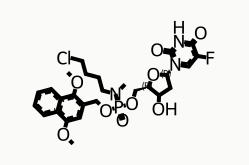 COc1cc(COP(=O)(OC[C@H]2O[C@@H](n3cc(F)c(=O)[nH]c3=O)CC2O)N(C)CCCCCl)c(OC)c2ccccc12